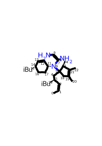 C/C=C\[C@H](CC1(N(/C(N)=C\N)[C@H]2C=C[C@@H](C(C)CC)CC2)CC(C)=C(C)[C@@H]1C)C(C)CC